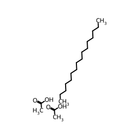 CC(=O)O.CC(=O)O.CCCCCCCCCCCCCCCC